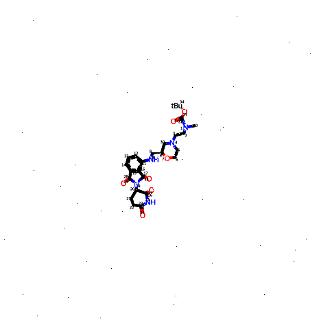 CN(CCN1CCO[C@@H](CNc2cccc3c2C(=O)N(C2CCC(=O)NC2=O)C3=O)C1)C(=O)OC(C)(C)C